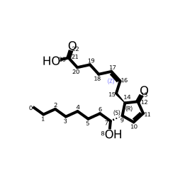 CCCCCCCC(O)[C@H]1C=CC(=O)[C@@H]1C/C=C\CCCC(=O)O